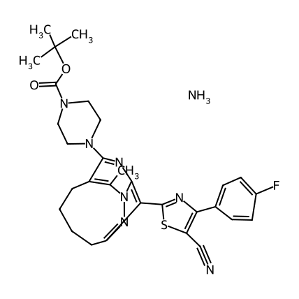 Cc1c2c(N3CCN(C(=O)OC(C)(C)C)CC3)nc3c(-c4nc(-c5ccc(F)cc5)c(C#N)s4)c(nn13)CCCC2.N